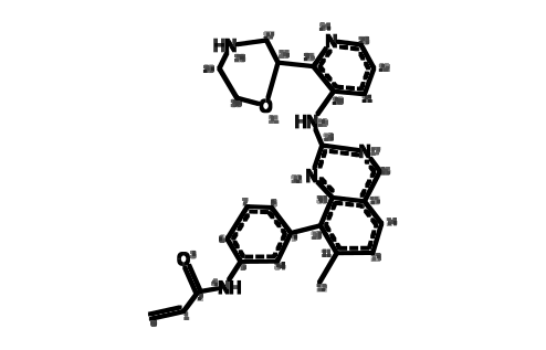 C=CC(=O)Nc1cccc(-c2c(C)ccc3cnc(Nc4cccnc4C4CNCCO4)nc23)c1